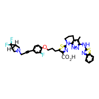 Cc1c(Nc2nc3ccccc3s2)nnc2c1CCCN2c1nc(C(=O)O)c(CCCOc2ccc(C#CCN3C[C@@H]4[C@H](C3)C4(F)F)cc2F)s1